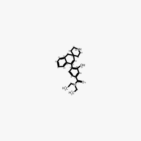 CCN(CC)C(=O)c1ccc(C2=CC3(CCNCC3)Cc3ccccc32)c(O)c1